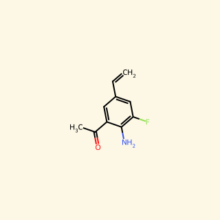 C=Cc1cc(F)c(N)c(C(C)=O)c1